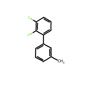 Cc1[c]ccc(-c2cccc(F)c2F)c1